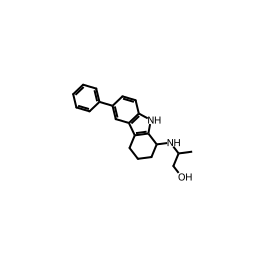 CC(CO)NC1CCCc2c1[nH]c1ccc(-c3ccccc3)cc21